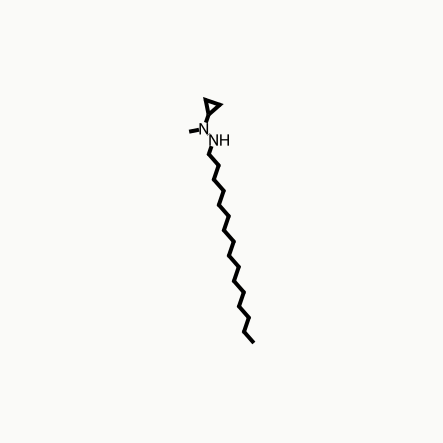 CCCCCCCCCCCCCCCCNN(C)C1CC1